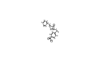 CC(CNC(=O)OCc1ccccc1)c1ccc(C(=O)Cl)cc1